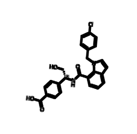 O=C(O)c1ccc([C@H](CO)NC(=O)c2cccc3ccn(Cc4ccc(Cl)cc4)c23)cc1